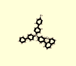 Fc1ccc(-c2ccc(N(c3ccc(-c4ccccc4)cc3)c3ccc4c(c3)Oc3cccc5cccc-4c35)cc2)cc1